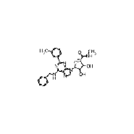 CNC(=O)[C@@H]1OC(n2cnc3c(NCc4ccccc4)nc(-c4cccc(C)c4)nc32)C(O)C1O